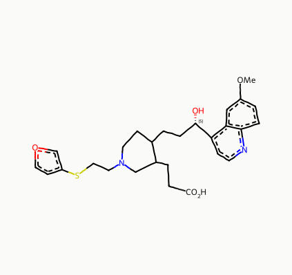 COc1ccc2nccc([C@@H](O)CCC3CCN(CCSc4ccoc4)CC3CCC(=O)O)c2c1